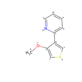 COc1cs[c]c1-c1ccccn1